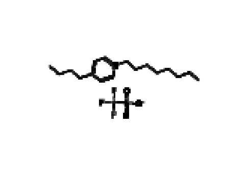 CCCCCCCC[n+]1ccc(CCCC)cc1.O=S(=O)([O-])C(F)(F)F